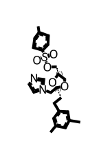 Cc1ccc(S(=O)(=O)OC[C@@H]2CO[C@@](CCc3cc(C)cc(C)c3)(Cn3ccnc3)O2)cc1